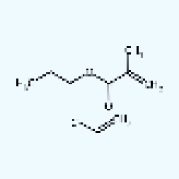 C=C(C)C(=O)OCCC.C=CCl